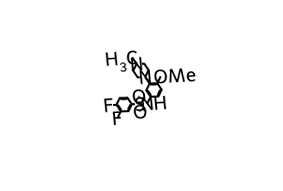 COc1ccc(NS(=O)(=O)c2ccc(F)c(F)c2)cc1N1CCN(C)CC1